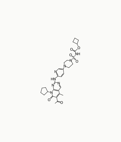 CC(=O)c1c(C)c2cnc(Nc3ccc(N4CCN(S(=O)(=O)NC(=O)OC5CCC5)CC4)cn3)nc2n(C2CCCC2)c1=O